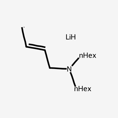 [CH2]C=CCN(CCCCCC)CCCCCC.[LiH]